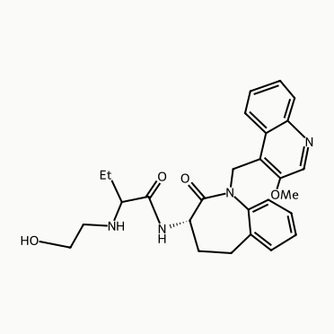 CCC(NCCO)C(=O)N[C@H]1CCc2ccccc2N(Cc2c(OC)cnc3ccccc23)C1=O